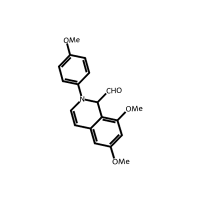 COc1ccc(N2C=Cc3cc(OC)cc(OC)c3C2C=O)cc1